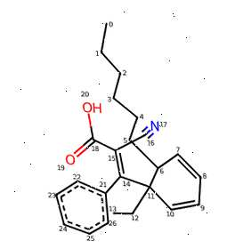 CCCCCCC1C=CC=CC1(CC)C(=C(C#N)C(=O)O)c1ccccc1